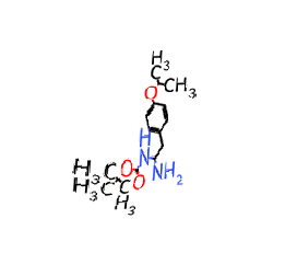 CC(C)Oc1ccc(C[C@@H](N)NC(=O)OC(C)(C)C)cc1